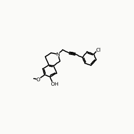 COc1cc2c(cc1O)CN(CC#Cc1cccc(Cl)c1)CC2